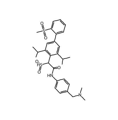 CC(C)c1cc(-c2ccccc2S(C)(=O)=O)cc(C(C)C)c1C(C(=O)Nc1ccc(CN(C)C)cc1)[SH](=O)=O